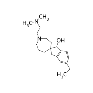 CCc1ccc2c(c1)CC1(CCCN(CCN(C)C)CC1)C2O